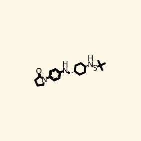 CC(C)(C)SN[C@H]1CC[C@H](CNc2ccc(N3CCCC3=O)cc2)CC1